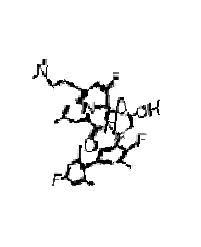 Cc1cc(-c2c(C)cc(F)cc2C)cc([C@H](CC(=O)O)NC(=O)C(CC(C)C)n2cc(CCN(C)C)cc(F)c2=O)c1F